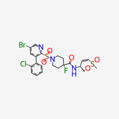 C[C@H](/C=C\S(C)(=O)=O)NC(=O)C1(F)CCN(S(=O)(=O)c2ncc(Br)cc2-c2ccccc2Cl)CC1